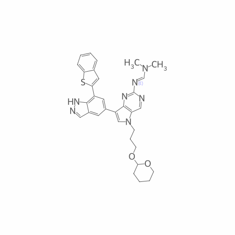 CN(C)/C=N/c1ncc2c(n1)c(-c1cc(-c3cc4ccccc4s3)c3[nH]ncc3c1)cn2CCCOC1CCCCO1